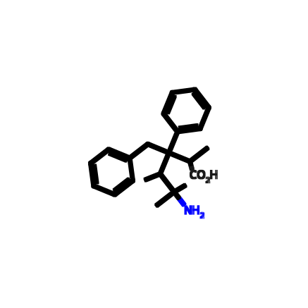 CC(C(=O)O)C(Cc1ccccc1)(c1ccccc1)C(C)C(C)(C)N